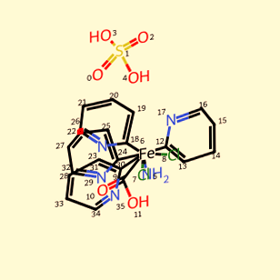 O=S(=O)(O)O.[NH2][Fe]([Cl])([Cl])([C](=O)O)([c]1ccccn1)([c]1ccccn1)([c]1ccccn1)[c]1ccccn1